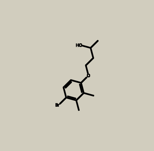 Cc1c(Br)ccc(OCCC(C)O)c1C